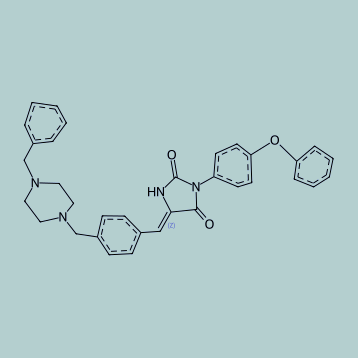 O=C1N/C(=C\c2ccc(CN3CCN(Cc4ccccc4)CC3)cc2)C(=O)N1c1ccc(Oc2ccccc2)cc1